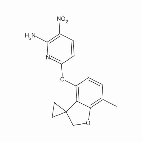 Cc1ccc(Oc2ccc([N+](=O)[O-])c(N)n2)c2c1OCC21CC1